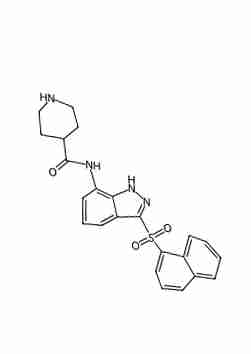 O=C(Nc1cccc2c(S(=O)(=O)c3cccc4ccccc34)n[nH]c12)C1CCNCC1